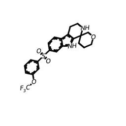 O=S(=O)(c1cccc(OC(F)(F)F)c1)c1ccc2c3c([nH]c2c1)C1(CCCOC1)NCC3